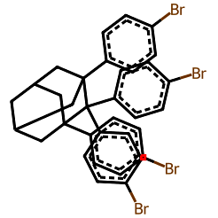 Brc1ccc(C23CC4CC(C2)CC(c2ccc(Br)cc2)(C4)C3(c2ccc(Br)cc2)c2ccc(Br)cc2)cc1